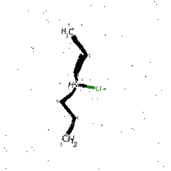 CC=C[SiH](Cl)CCC